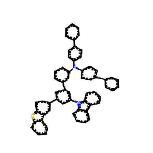 c1ccc(-c2ccc(N(c3ccc(-c4ccccc4)cc3)c3cccc(-c4cc(-c5ccc6sc7ccccc7c6c5)cc(-n5c6ccccc6c6ccccc65)c4)c3)cc2)cc1